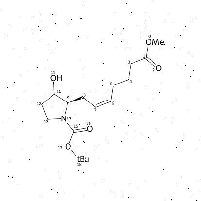 COC(=O)CCC/C=C\C[C@@H]1C(O)CCN1C(=O)OC(C)(C)C